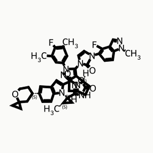 Cc1cc(-n2nc3c(c2-n2ccn(-c4ccc5c(cnn5C)c4F)c2=O)[C@H]2CC[C@@H](C3)N2C(=O)c2cc3cc([C@H]4CCOC5(CC5)C4)ccc3n2[C@]2(c3noc(=O)[nH]3)C[C@@H]2C)cc(C)c1F